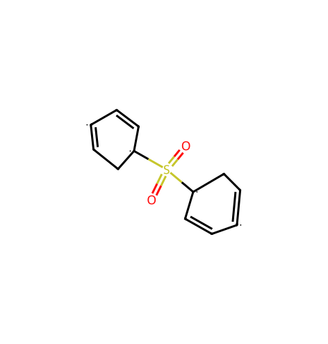 O=S(=O)([C]1C=C[C]=CC1)[C]1C=C[C]=CC1